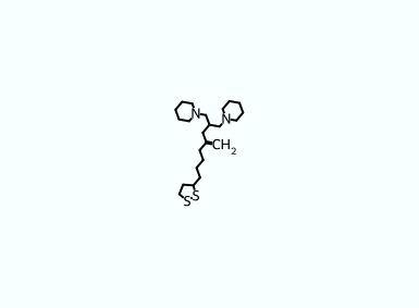 C=C(CCCCC1CCSS1)CC(CN1CCCCC1)CN1CCCCC1